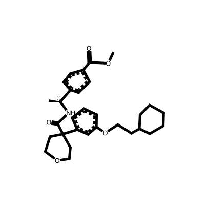 COC(=O)c1ccc([C@H](C)NC(=O)C2(c3cccc(OCCC4CCCCC4)c3)CCOCC2)cc1